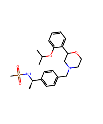 CC(C)Oc1ccccc1C1CN(Cc2ccc([C@@H](C)NS(C)(=O)=O)cc2)CCO1